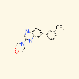 FC(F)(F)c1cccc(-c2ccc3ncc(N4CCOCC4)nc3c2)c1